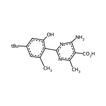 Cc1cc(C(C)(C)C)cc(O)c1-c1nc(C)c(C(=O)O)c(N)n1